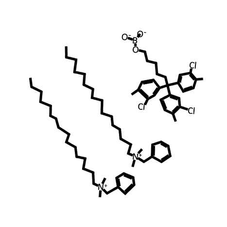 CCCCCCCCCCCCCCCC[N+](C)(C)Cc1ccccc1.CCCCCCCCCCCCCCCC[N+](C)(C)Cc1ccccc1.Cc1ccc(C(CCCCCOB([O-])[O-])(c2ccc(C)c(Cl)c2)c2ccc(C)c(Cl)c2)cc1Cl